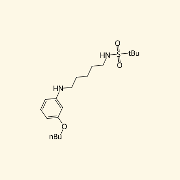 CCCCOc1cccc(NCCCCCNS(=O)(=O)C(C)(C)C)c1